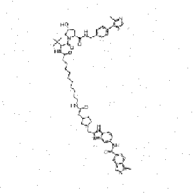 Cc1ncsc1-c1ccc(CNC(=O)[C@@H]2C[C@@H](O)CN2C(=O)C(NC(=O)CCCCCCCCCCNC(=O)CC2CCN(Cc3nc4cc(NC(=O)c5ccc6c(cnn6C)c5)ccc4[nH]3)C2)C(C)(C)C)cc1